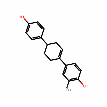 CCC(C)c1cc(C2=CCC(c3ccc(O)cc3)CC2)ccc1O